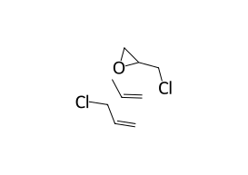 C=CC.C=CCCl.ClCC1CO1